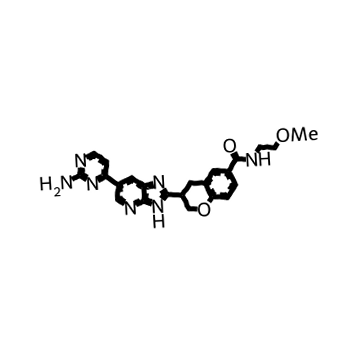 COCCNC(=O)c1ccc2c(c1)CC(c1nc3cc(-c4ccnc(N)n4)cnc3[nH]1)CO2